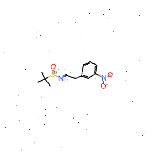 CC(C)(C)[S@@+]([O-])/N=C/Cc1cccc([N+](=O)[O-])c1